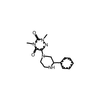 Cn1nc(N2CCNC(c3ccccc3)C2)c(=O)n(C)c1=O